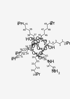 CC(C)CCCCC[Si]1(O)O[Si]2(CCCNCCN)O[Si](O)(CCCCCC(C)C)O[Si@]3(CCCCCC(C)C)O[Si@](O)(CCCCCC(C)C)O[Si@](CCCCCC(C)C)(O1)O[Si@](CCCCCC(C)C)(O2)O3